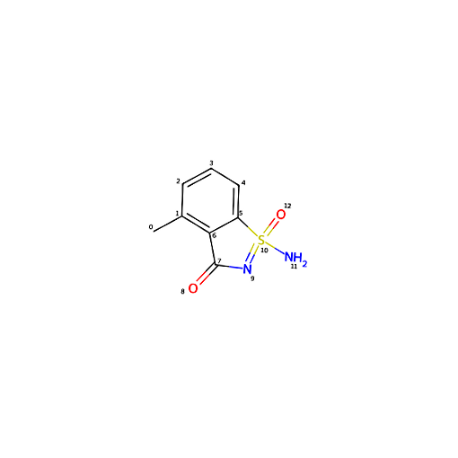 Cc1cccc2c1C(=O)N=S2(N)=O